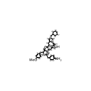 COc1ccc(CC(NC(=O)Cc2ccc(N)cc2)C(=O)NN(C[C@@H](O)CO)C(=O)CCC2=CN(CC3CCCCC3)CN2C2CC2)cc1